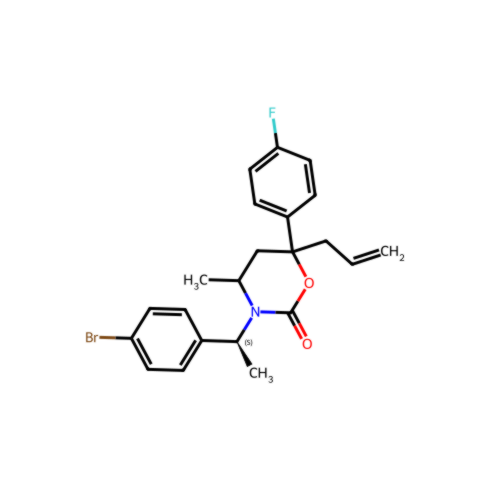 C=CCC1(c2ccc(F)cc2)CC(C)N([C@@H](C)c2ccc(Br)cc2)C(=O)O1